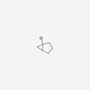 [O]C12CCCC1C2